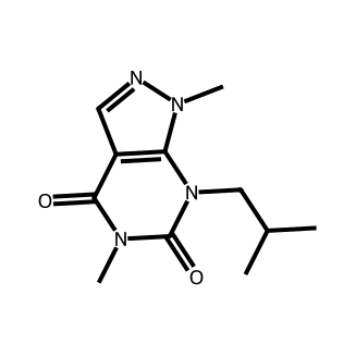 CC(C)Cn1c(=O)n(C)c(=O)c2cnn(C)c21